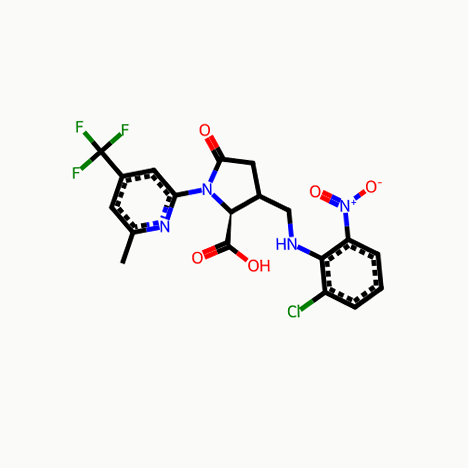 Cc1cc(C(F)(F)F)cc(N2C(=O)CC(CNc3c(Cl)cccc3[N+](=O)[O-])[C@H]2C(=O)O)n1